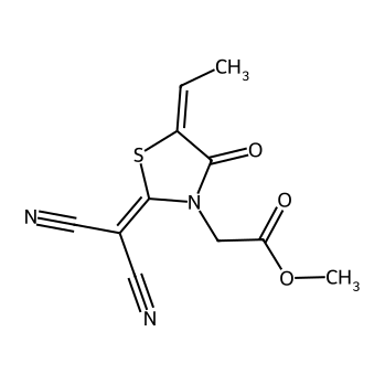 C/C=c1/sc(=C(C#N)C#N)n(CC(=O)OC)c1=O